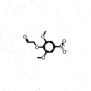 COc1cc([N+](=O)[O-])cc(OC)c1OCC=O